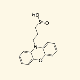 O=S(O)CCCN1c2ccccc2Oc2ccccc21